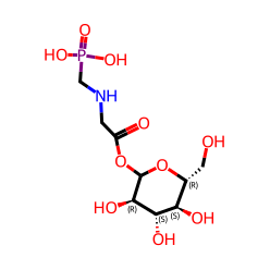 O=C(CNCP(=O)(O)O)OC1O[C@H](CO)[C@@H](O)[C@H](O)[C@H]1O